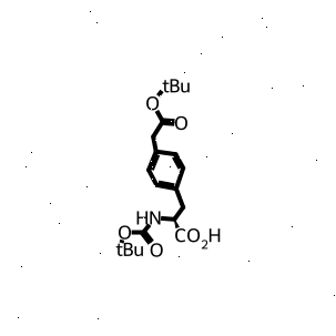 CC(C)(C)OC(=O)Cc1ccc(C[C@H](NC(=O)OC(C)(C)C)C(=O)O)cc1